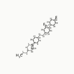 CCCC1CC[SiH](c2ccc(CCc3ccc(-c4ccc(F)cc4)c(F)c3)cc2)CC1